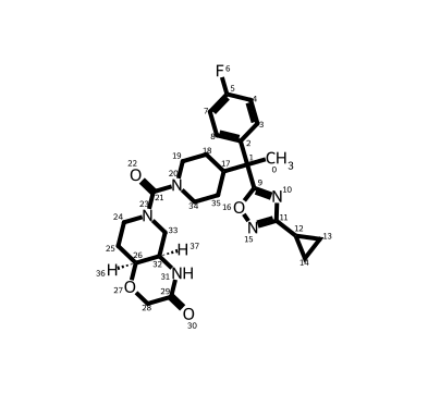 CC(c1ccc(F)cc1)(c1nc(C2CC2)no1)C1CCN(C(=O)N2CC[C@@H]3OCC(=O)N[C@@H]3C2)CC1